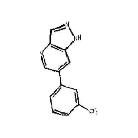 FC(F)(F)c1cccc(-c2cnc3cn[nH]c3c2)c1